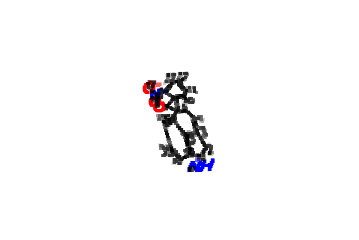 N=C1Cc2ccc(C(=O)c3ccccc3[N+](=O)[O-])c3cccc1c23